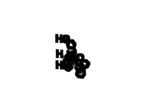 N[C@@H](Cc1ccc(O)cc1)C(=O)N(C(=O)[C@@H]1CCCN1)[C@@H](Cc1ccccn1)c1ccccc1